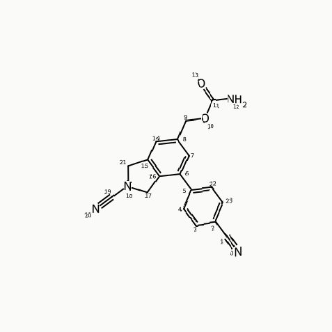 N#Cc1ccc(-c2cc(COC(N)=O)cc3c2CN(C#N)C3)cc1